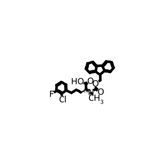 CN(C(=O)OCC1c2ccccc2-c2ccccc21)[C@@H](CCCc1cccc(F)c1Cl)C(=O)O